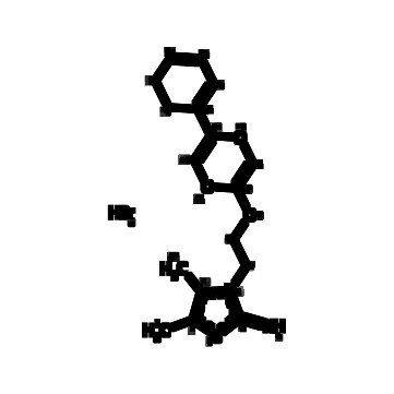 Br.Cc1sc(=N)n(CCOC2=COC(C3=CC=CCC3)=CO2)c1C